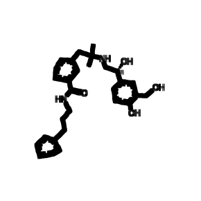 CC(C)(Cc1cccc(C(=O)NCCCc2ccccc2)c1)NC[C@H](O)c1ccc(O)c(CO)c1